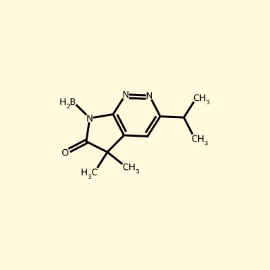 BN1C(=O)C(C)(C)c2cc(C(C)C)nnc21